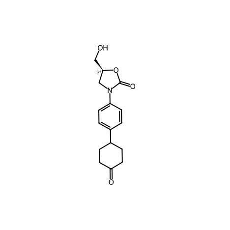 O=C1CCC(c2ccc(N3C[C@@H](CO)OC3=O)cc2)CC1